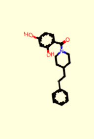 O=C(c1ccc(O)cc1O)N1CCC(CCc2ccccc2)CC1